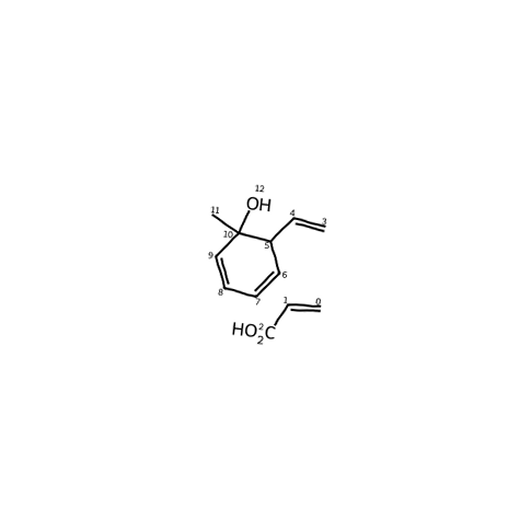 C=CC(=O)O.C=CC1C=CC=CC1(C)O